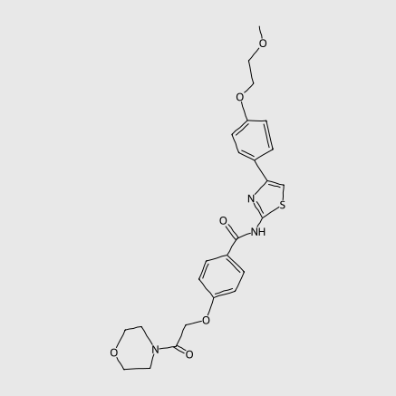 COCCOc1ccc(-c2csc(NC(=O)c3ccc(OCC(=O)N4CCOCC4)cc3)n2)cc1